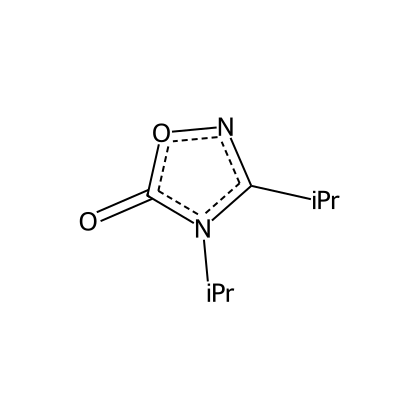 CC(C)c1noc(=O)n1C(C)C